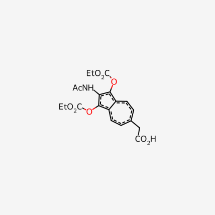 CCOC(=O)Oc1c2ccc(CC(=O)O)ccc-2c(OC(=O)OCC)c1NC(C)=O